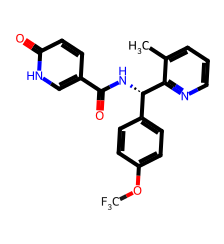 Cc1cccnc1[C@@H](NC(=O)c1ccc(=O)[nH]c1)c1ccc(OC(F)(F)F)cc1